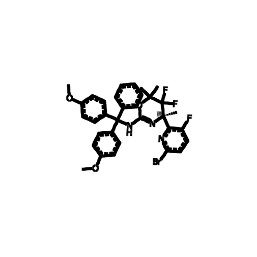 COc1ccc(C(NC2=N[C@](C)(c3nc(Br)ccc3F)C(F)(F)C(C)(C)O2)(c2ccccc2)c2ccc(OC)cc2)cc1